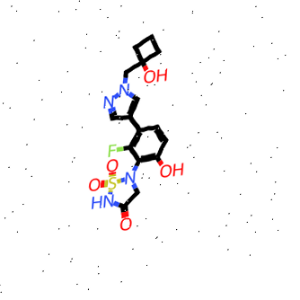 O=C1CN(c2c(O)ccc(-c3cnn(CC4(O)CCC4)c3)c2F)S(=O)(=O)N1